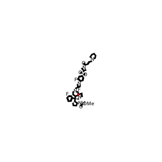 COC(=O)N[C@H]1CCC[C@@H]1[C@](CN1CCC1)(c1cccc(F)c1)C1CCN(CC2(F)CN(c3ccc(S(=O)(=O)C4CN(C(=O)/C=C/CN5CCCCC5)C4)cc3F)C2)CC1